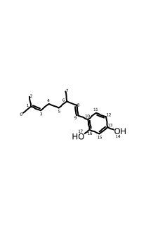 CC(C)=CCCC(C)C=Cc1ccc(O)cc1O